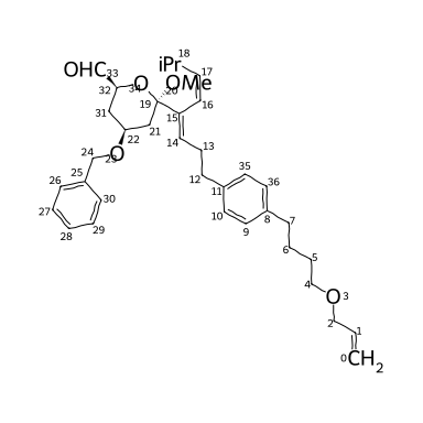 C=CCOCCCCc1ccc(CC/C=C(\C=C/C(C)C)[C@@]2(OC)C[C@@H](OCc3ccccc3)C[C@@H](C=O)O2)cc1